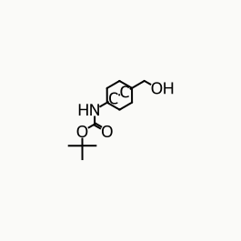 CC(C)(C)OC(=O)NC12CCC(CO)(CC1)CC2